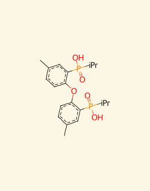 Cc1ccc(Oc2ccc(C)cc2P(=O)(O)C(C)C)c(P(=O)(O)C(C)C)c1